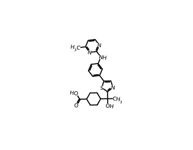 Cc1ccnc(Nc2cccc(-c3cnc(C(C)(O)C4CCC(C(=O)O)CC4)s3)c2)n1